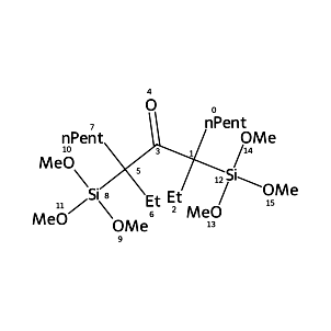 CCCCCC(CC)(C(=O)C(CC)(CCCCC)[Si](OC)(OC)OC)[Si](OC)(OC)OC